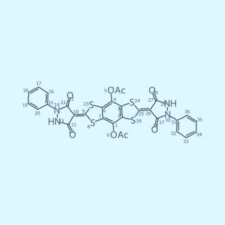 CC(=O)Oc1c2c(c(OC(C)=O)c3c1SC(=C1C(=O)NN(c4ccccc4)C1=O)S3)SC(=C1C(=O)NN(c3ccccc3)C1=O)S2